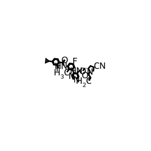 C=CC(=O)N1C[C@H](C#N)C[C@H]1CONc1cncnc1-c1cc(F)cc(NC(=O)c2ccc(C3CC3)cc2F)c1C